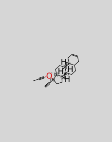 C#C[C@]1(OC#CC)CC[C@H]2[C@@H]3CCC4CC=CC[C@@H]4[C@H]3CC[C@@]21C